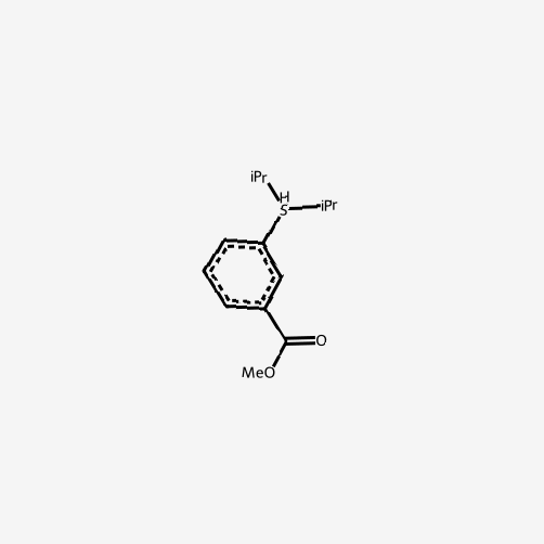 COC(=O)c1cccc([SH](C(C)C)C(C)C)c1